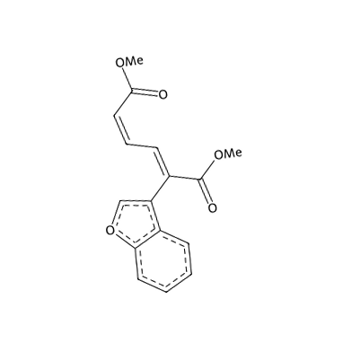 COC(=O)/C=C\C=C(\C(=O)OC)c1coc2ccccc12